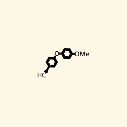 C#Cc1ccc(Oc2ccc(OC)cc2)cc1